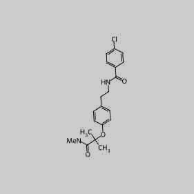 CNC(=O)C(C)(C)Oc1ccc(CCNC(=O)c2ccc(Cl)cc2)cc1